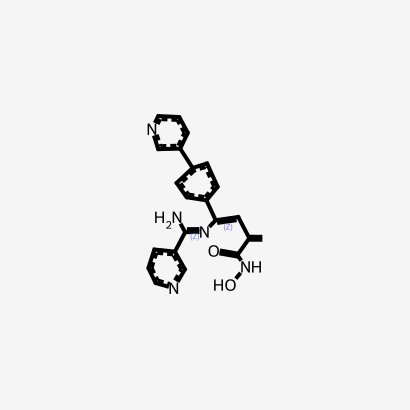 C=C(/C=C(\N=C(/N)c1cccnc1)c1ccc(-c2cccnc2)cc1)C(=O)NO